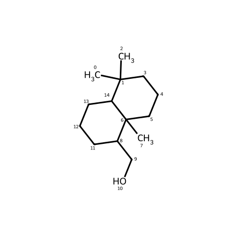 CC1(C)CCCC2(C)C(CO)CCCC12